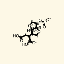 O=C(O)CC(C(=O)O)C1CO[C@@H]2[C@@H](O[N+](=O)[O-])CO[C@H]12